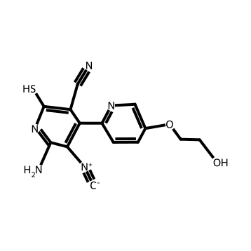 [C-]#[N+]c1c(N)nc(S)c(C#N)c1-c1ccc(OCCO)cn1